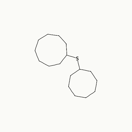 C1CCCCC(SC2CCCCCCC2)CCC1